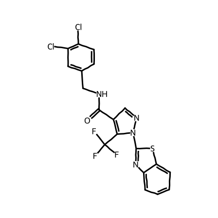 O=C(NCc1ccc(Cl)c(Cl)c1)c1cnn(-c2nc3ccccc3s2)c1C(F)(F)F